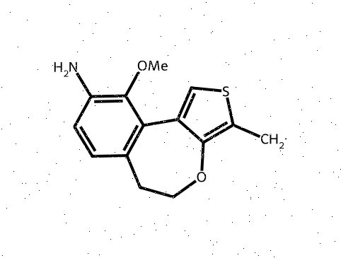 [CH2]c1scc2c1OCCc1ccc(N)c(OC)c1-2